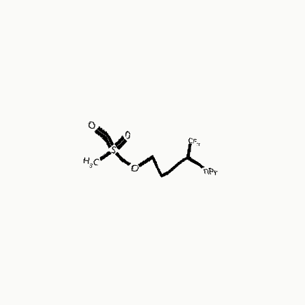 CCCC(CCOS(C)(=O)=O)C(F)(F)F